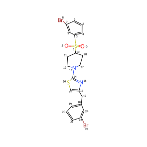 O=S(=O)(c1cccc(Br)c1)C1CCN(c2nc(Cc3cccc(Br)c3)cs2)CC1